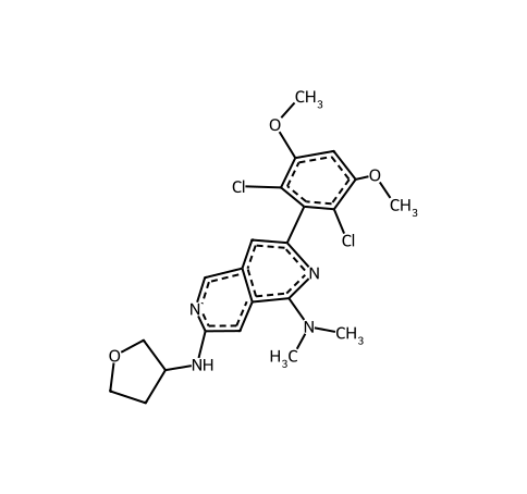 COc1cc(OC)c(Cl)c(-c2cc3cnc(NC4CCOC4)cc3c(N(C)C)n2)c1Cl